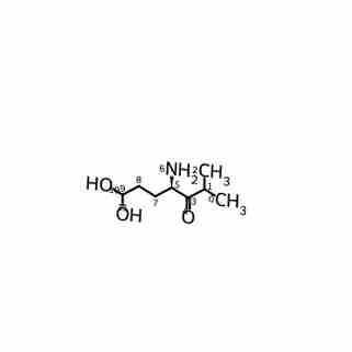 CC(C)C(=O)[C@H](N)CCC(O)O